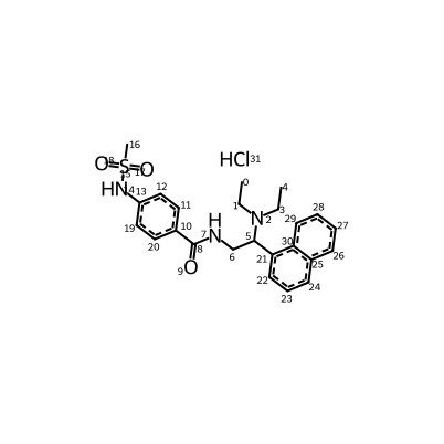 CCN(CC)C(CNC(=O)c1ccc(NS(C)(=O)=O)cc1)c1cccc2ccccc12.Cl